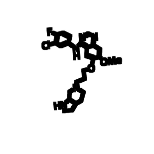 COc1cc2ncnc(Nc3ccc(F)c(Cl)c3)c2cc1OCCCN1CCC2CCNC2C1